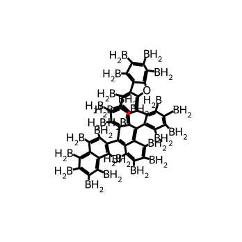 Bc1c(B)c(B)c(-c2c3c(B)c(B)c(B)c(B)c3c(-c3c(B)c(B)c4c(B)c(B)c(B)c(B)c4c3B)c3c(B)c(B)c(B)c(B)c23)c(-c2c(B)c(B)c(B)c3c2oc2c(B)c(B)c(B)c(B)c23)c1B